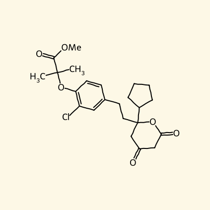 COC(=O)C(C)(C)Oc1ccc(CCC2(C3CCCC3)CC(=O)CC(=O)O2)cc1Cl